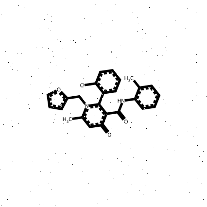 Cc1ccccc1NC(=O)c1c(-c2ccccc2Cl)n(Cc2ccco2)c(C)cc1=O